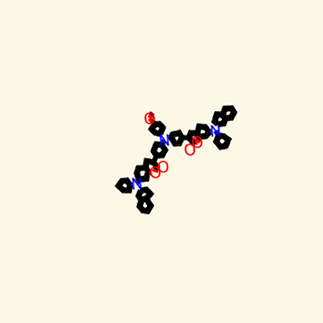 COc1ccc(N(c2ccc(-c3cc4ccc(N(c5ccccc5)c5ccc6ccccc6c5)cc4oc3=O)cc2)c2ccc(-c3cc4ccc(N(c5ccccc5)c5ccc6ccccc6c5)cc4oc3=O)cc2)cc1